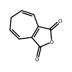 O=C1OC(=O)C2=C1C=CCC=C2